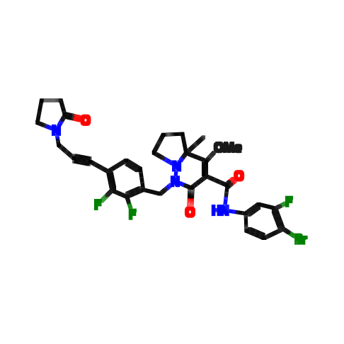 COC1=C(C(=O)Nc2ccc(Br)c(F)c2)C(=O)N(Cc2ccc(C#CCN3CCCC3=O)c(F)c2F)N2CCCC12C